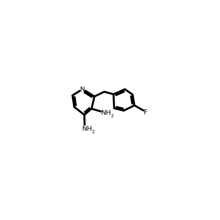 Nc1ccnc(Cc2ccc(F)cc2)c1N